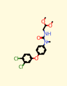 COC(CNC(=O)N(C)c1ccc(Oc2ccc(Cl)c(Cl)c2)cc1)OC